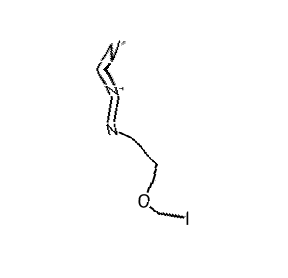 [N-]=[N+]=NCOI